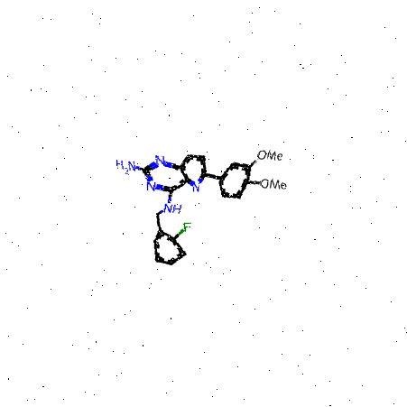 COc1ccc(-c2ccc3nc(N)nc(NCc4ccccc4F)c3n2)cc1OC